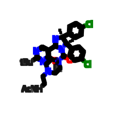 CCOc1nc(C(C)(C)C)ncc1C1=N[C@@](C)(c2ccc(Cl)cc2)[C@@](C)(c2ccc(Cl)cc2)N1C(=O)N1CCN(CCNC(C)=O)CC1